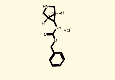 Cl.O=C(NC1[C@@H]2CNC[C@@H]12)OCc1ccccc1